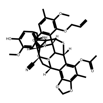 C=CCOc1c(OC)c(C)cc2c1[C@H]1N[C@@H](C2)[C@H](C#N)N2C1[C@@H]1SC[C@]3(NCCc4cc(O)c(OC)cc43)C(=O)OC[C@H]2c2c3c(c(C)c(OC(C)=O)c21)OCO3